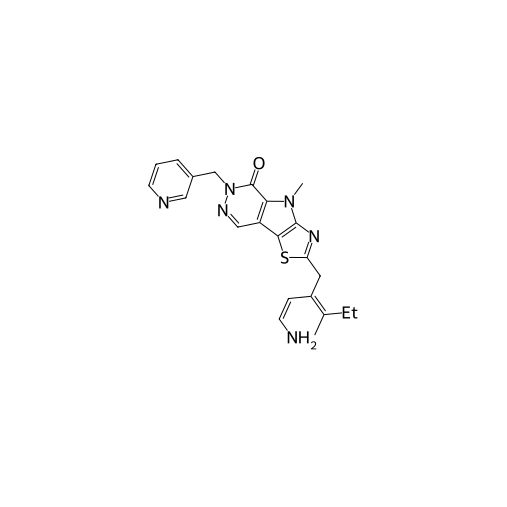 CC/C(C)=C(/C=C\N)Cc1nc2c(s1)c1cnn(Cc3cccnc3)c(=O)c1n2C